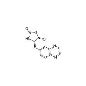 O=C1NC(=Cc2ccc3nccnc3c2)C(=O)S1